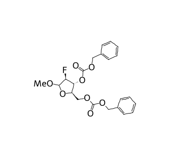 COC1O[C@H](COC(=O)OCc2ccccc2)[C@@H](OC(=O)OCc2ccccc2)[C@@H]1F